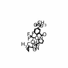 C[C@H](Oc1ccc(S(C)(=O)=O)cc1C(=O)N1CCC(c2noc(C3(C)CC3)n2)C1)C(F)(F)F